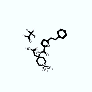 C[N+]1(C)CCC(CC(=O)O)(NC(=O)c2ccc(CCc3ccccc3)o2)CC1.O=C([O-])C(F)(F)F